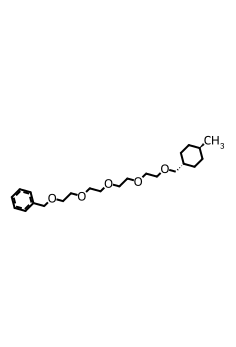 C[C@H]1CC[C@H](COCCOCCOCCOCCOCc2ccccc2)CC1